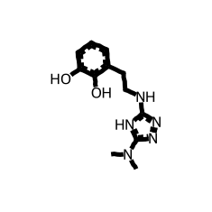 CN(C)c1nnc(NCCc2cccc(O)c2O)[nH]1